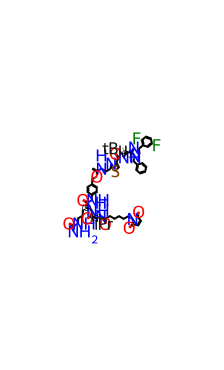 C=C(NCc1nc(C(=O)N[C@@H](c2nc(-c3cc(F)ccc3F)cn2Cc2ccccc2)C(C)(C)C)cs1)OCc1ccc(NC(=O)[C@H](CCCNC(N)=O)NC(=O)[C@@H](NC(=O)CCCCCN2C(=O)C=CC2=O)C(C)C)cc1